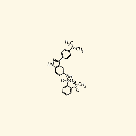 CN(C)c1ccc(-c2n[nH]c3ccc(NS(=O)(=O)c4ccccc4S(C)(=O)=O)cc23)cc1